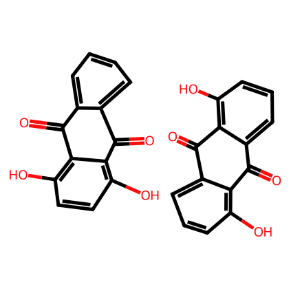 O=C1c2cccc(O)c2C(=O)c2cccc(O)c21.O=C1c2ccccc2C(=O)c2c(O)ccc(O)c21